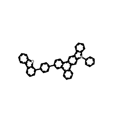 c1ccc(-n2c3ccccc3c3cc4c5ccc(-c6ccc(-c7cccc8c7oc7ccccc78)cc6)cc5c5ccccc5c4cc32)cc1